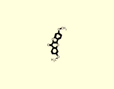 COc1ccc2c(=O)c3oc4cc(OC)ccc4c3oc2c1